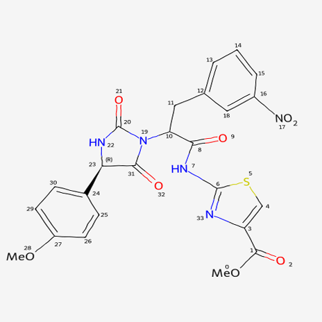 COC(=O)c1csc(NC(=O)C(Cc2cccc([N+](=O)[O-])c2)N2C(=O)N[C@H](c3ccc(OC)cc3)C2=O)n1